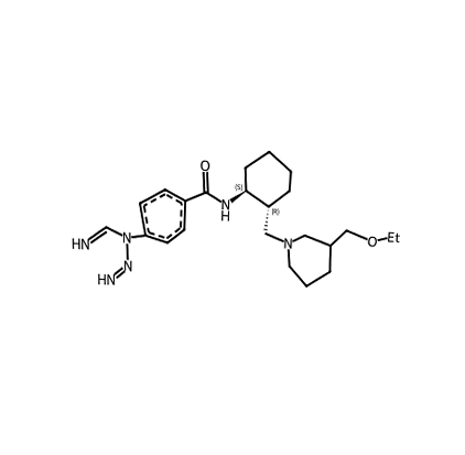 CCOCC1CCCN(C[C@H]2CCCC[C@@H]2NC(=O)c2ccc(N(C=N)N=N)cc2)C1